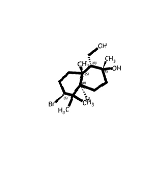 CC1(C)[C@@H](Br)CC[C@@]2(C)[C@H]1CC[C@@](C)(O)[C@H]2CO